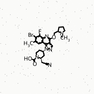 Cc1cc2c(nc(OCC3CCCN3C)c3cnn([C@H]4CCN(C(=O)O)[C@H](CC#N)C4)c32)c(F)c1Br